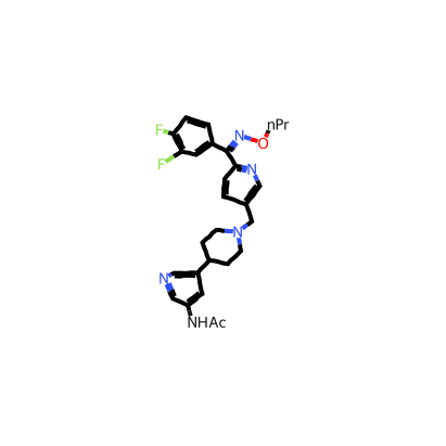 CCCON=C(c1ccc(F)c(F)c1)c1ccc(CN2CCC(c3cncc(NC(C)=O)c3)CC2)cn1